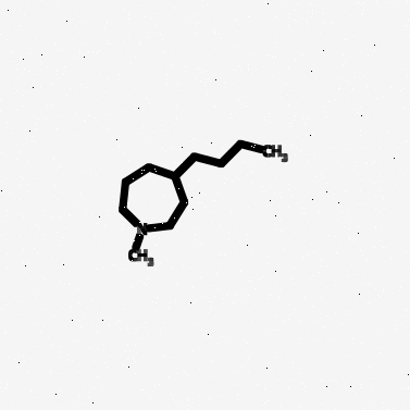 CCCCC1CCCN(C)CC1